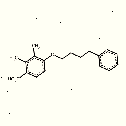 Cc1c(OCCCCc2ccccc2)ccc(C(=O)O)c1C